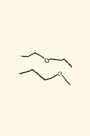 [CH2]CCOC.[CH2]COCC